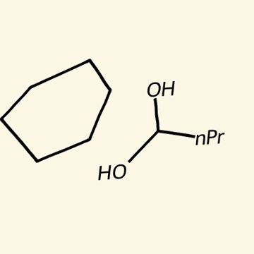 C1CCCCC1.CCCC(O)O